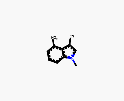 Cn1cc(C#N)c2c([N+](=O)[O-])cccc21